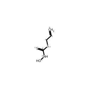 C=CCSC(=S)NO